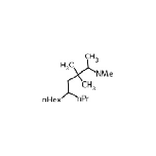 CCCCCCC(CCC)CC(C)(C)C(C)NC